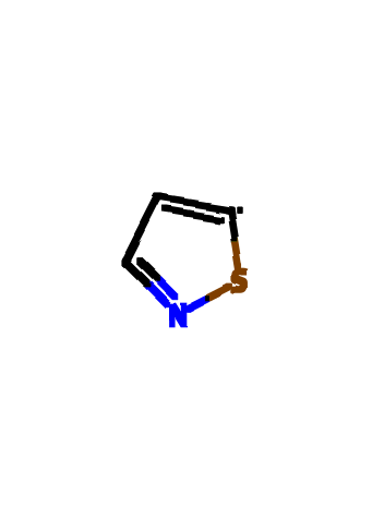 [c]1ccns1